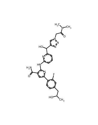 CC(O)Cc1ccc(-c2cc(C(N)=O)c(Nc3cccc(C(O)c4cn(CC(=O)N(C)C)nn4)n3)s2)c(F)c1